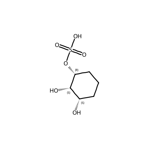 O=S(=O)(O)O[C@@H]1CCC[C@H](O)[C@@H]1O